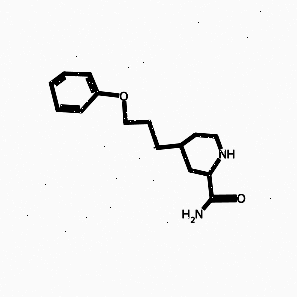 NC(=O)C1CC([CH]CCOc2ccccc2)CCN1